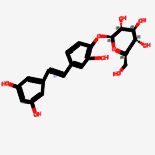 OC[C@H]1O[C@@H](Oc2ccc(/C=C/c3cc(O)cc(O)c3)cc2O)[C@H](O)[C@@H](O)[C@@H]1O